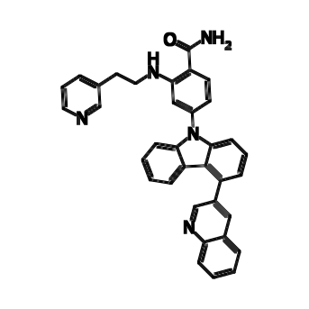 NC(=O)c1ccc(-n2c3ccccc3c3c(-c4cnc5ccccc5c4)cccc32)cc1NCCc1cccnc1